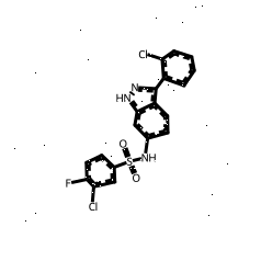 O=S(=O)(Nc1ccc2c(-c3ccccc3Cl)n[nH]c2c1)c1ccc(F)c(Cl)c1